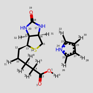 [3H]OC(=O)C([3H])([3H])C([3H])([3H])C([3H])C[C@@H]1SC[C@@H]2NC(=O)N[C@@H]21.[3H]c1[nH]c([3H])c([3H])c1[3H]